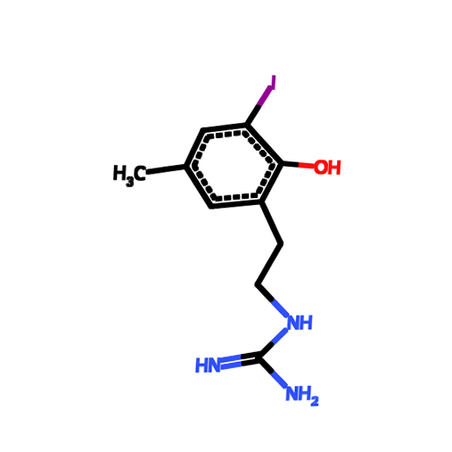 Cc1cc(I)c(O)c(CCNC(=N)N)c1